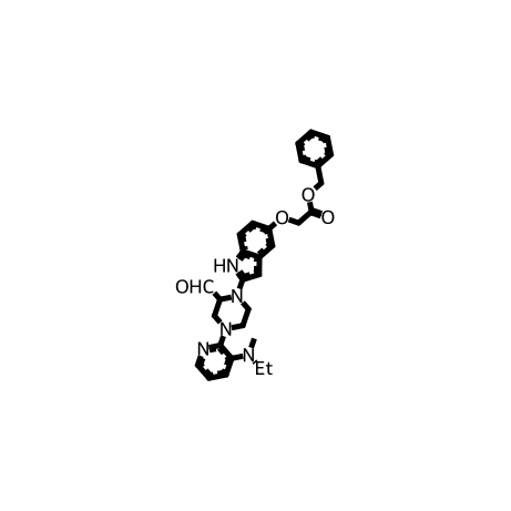 CCN(C)c1cccnc1N1CCN(c2cc3cc(OCC(=O)OCc4ccccc4)ccc3[nH]2)C(C=O)C1